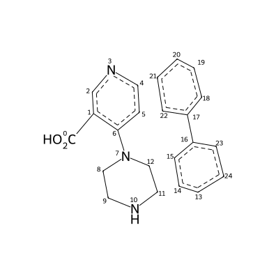 O=C(O)c1cnccc1N1CCNCC1.c1ccc(-c2ccccc2)cc1